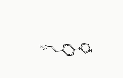 [CH2]C=Cc1ccc(-n2ccnc2)cc1